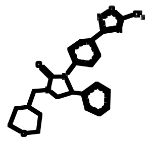 O=C1N(CC2CCOCC2)CC(c2ccccc2)N1c1ccc(-c2noc(C(F)(F)F)n2)cc1